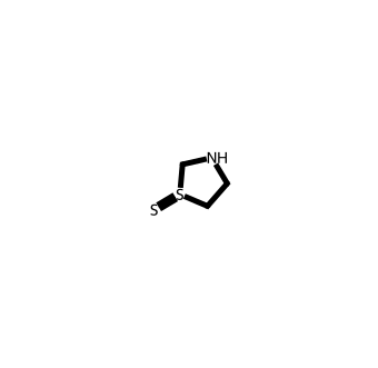 S=S1CCNC1